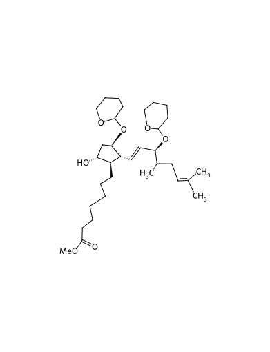 COC(=O)CCCCCC[C@@H]1[C@@H](/C=C/[C@@H](OC2CCCCO2)C(C)CC=C(C)C)[C@H](OC2CCCCO2)C[C@H]1O